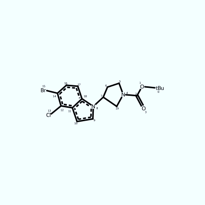 CC(C)(C)OC(=O)N1CCC(n2ccc3c(Cl)c(Br)ccc32)C1